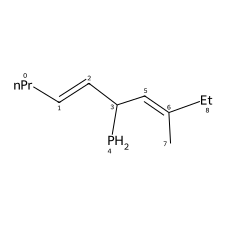 CCCC=CC(P)/C=C(\C)CC